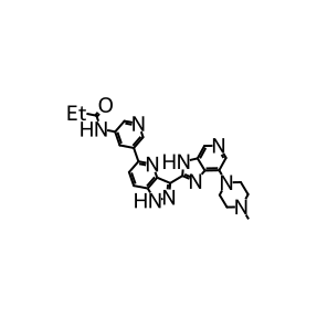 CCC(=O)Nc1cncc(-c2ccc3[nH]nc(-c4nc5c(N6CCN(C)CC6)cncc5[nH]4)c3n2)c1